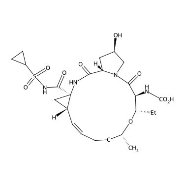 CC[C@@H]1O[C@H](C)CC/C=C\[C@@H]2C[C@@]2(C(=O)NS(=O)(=O)C2CC2)NC(=O)[C@@H]2C[C@@H](O)CN2C(=O)[C@H]1NC(=O)O